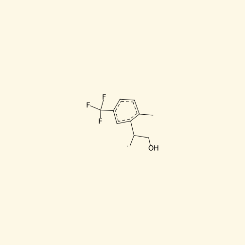 [CH2]C(CO)c1cc(C(F)(F)F)ccc1C